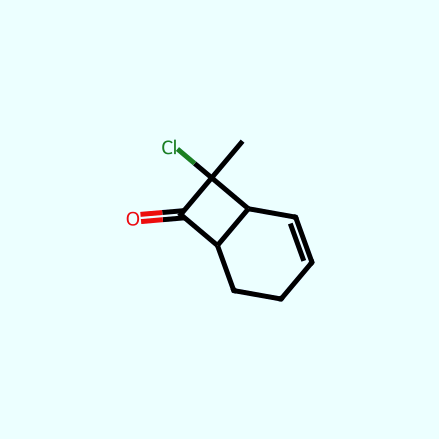 CC1(Cl)C(=O)C2CCC=CC21